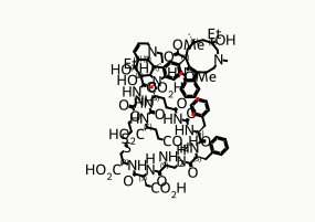 CC[C@]1(O)C[C@@H](C)C[C@](C(=O)OC)(c2cc3c(cc2OC)N(C)C2[C@]34CCN3CC=C[C@@](CC)([C@@H](O)[C@]2(O)C(=O)NNC(=O)OCCSSC[C@H](NC(=O)[C@H](CC(=O)O)NC(=O)[C@@H](N)CNC(=O)[C@H](Cc2ccccc2)NC(=O)[C@H](Cc2ccccc2)NC(=O)NC(=O)CC[C@H](NC(=O)N[C@@H](CCC(=O)O)C(=O)O)C(=O)O)C(=O)O)[C@H]34)c2[nH]c3ccccc3c2CCN(C)C1